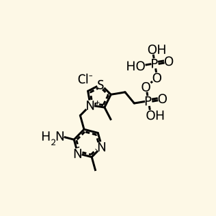 Cc1ncc(C[n+]2csc(CCP(=O)(O)OOP(=O)(O)O)c2C)c(N)n1.[Cl-]